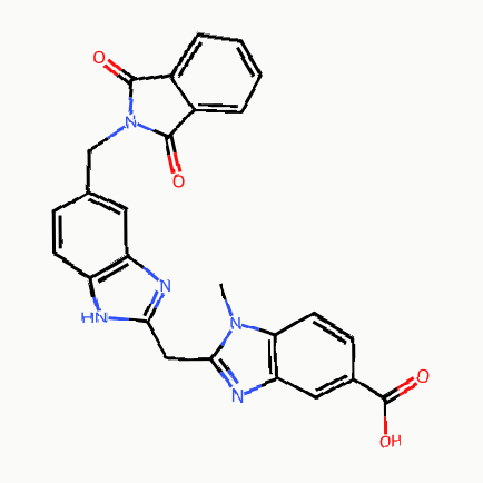 Cn1c(Cc2nc3cc(CN4C(=O)c5ccccc5C4=O)ccc3[nH]2)nc2cc(C(=O)O)ccc21